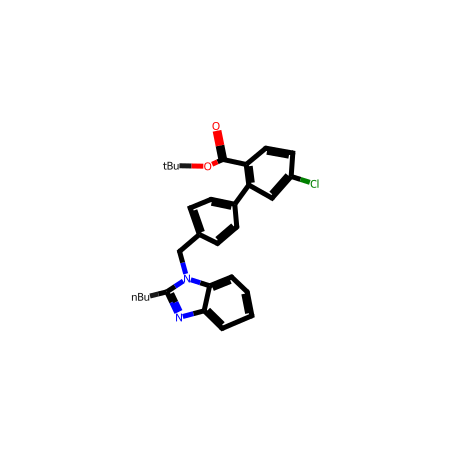 CCCCc1nc2ccccc2n1Cc1ccc(-c2cc(Cl)ccc2C(=O)OC(C)(C)C)cc1